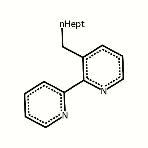 CCCCCCCCc1cccnc1-c1ccccn1